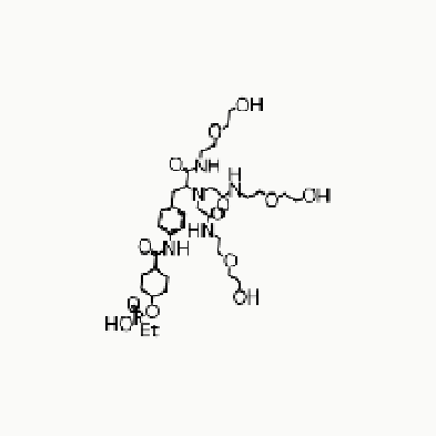 CCP(=O)(O)OC1CCC(C(=O)Nc2ccc(CC(C(=O)NCCOCCO)N(CC(=O)NCCOCCO)CC(=O)NCCOCCO)cc2)CC1